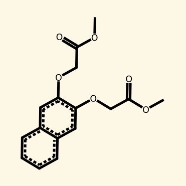 COC(=O)COc1cc2ccccc2cc1OCC(=O)OC